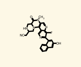 CN1C(=O)C2CNC(CC#N)CN2c2c1cnc1c(F)c(-c3cc(O)cc4ccccc34)ncc21